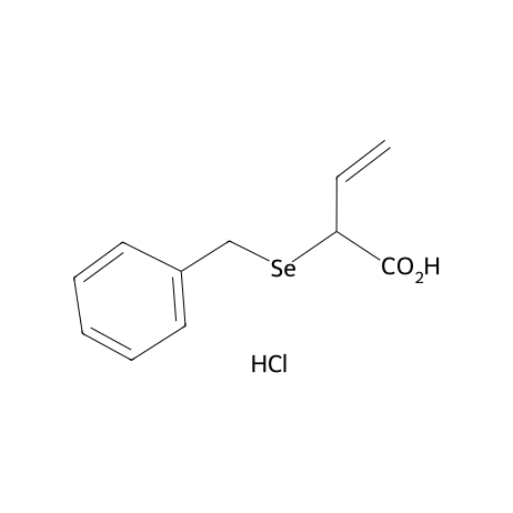 C=CC([Se]Cc1ccccc1)C(=O)O.Cl